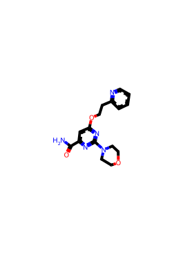 NC(=O)c1cc(OCCc2ccccn2)nc(N2CCOCC2)n1